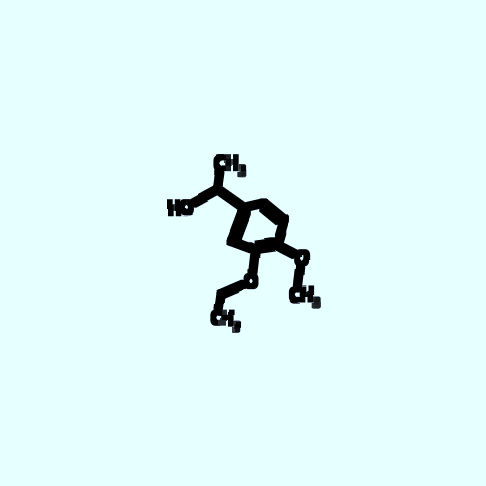 CCOc1cc(C(C)O)ccc1OC